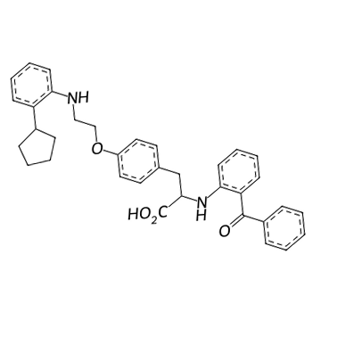 O=C(c1ccccc1)c1ccccc1NC(Cc1ccc(OCCNc2ccccc2C2CCCC2)cc1)C(=O)O